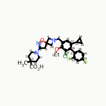 CCOc1c(CN2CC3(CC(N4CCC(C)(C(=O)O)CC4)=NO3)C2)cc(C2CC2)c(-c2ccc(F)cc2F)c1Cl